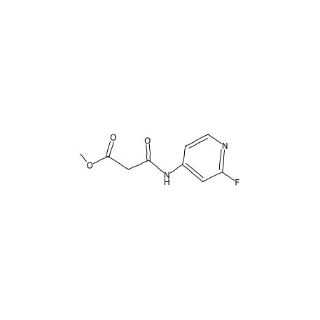 COC(=O)CC(=O)Nc1ccnc(F)c1